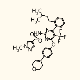 CC(C)CCc1ccccc1-c1nc(NS(=O)(=O)c2cnn(C)c2)nc(Oc2ccc(C3=CCOCC3)cc2)c1C(F)(F)F